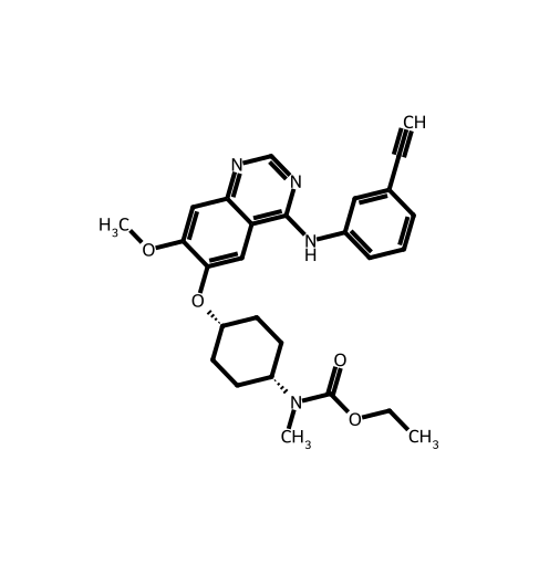 C#Cc1cccc(Nc2ncnc3cc(OC)c(O[C@H]4CC[C@@H](N(C)C(=O)OCC)CC4)cc23)c1